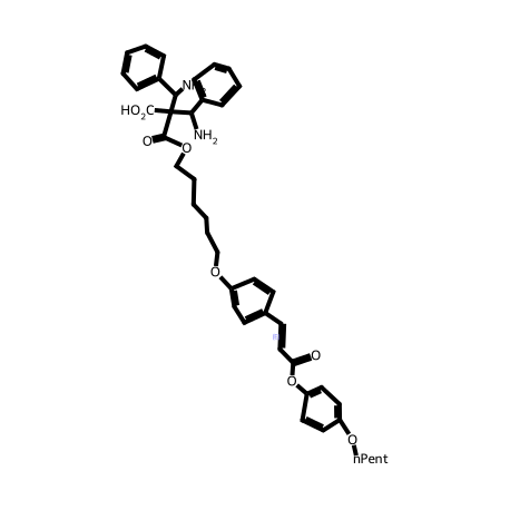 CCCCCOc1ccc(OC(=O)/C=C/c2ccc(OCCCCCCOC(=O)C(C(=O)O)(C(N)c3ccccc3)C(N)c3ccccc3)cc2)cc1